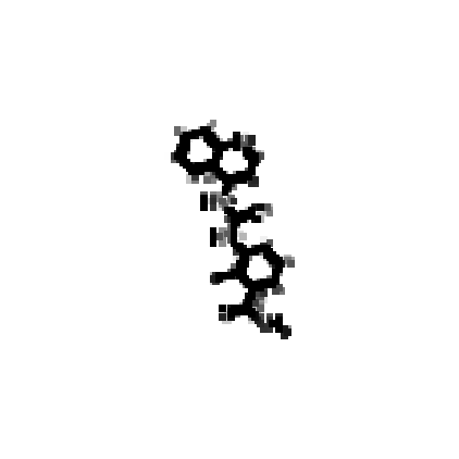 Cc1c(NC(=O)Nc2ccnc3ccccc23)cccc1C(N)=O